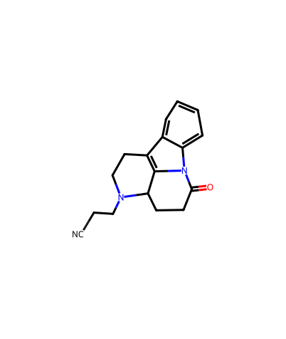 N#CCCN1CCc2c3n(c4ccccc24)C(=O)CCC31